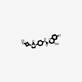 O=C(NC1CCC(N2CCN(C3CC(OC(F)(F)F)C3)C2=O)CC1)[C@H]1C[C@@H](O)c2cc(Cl)ccc2O1